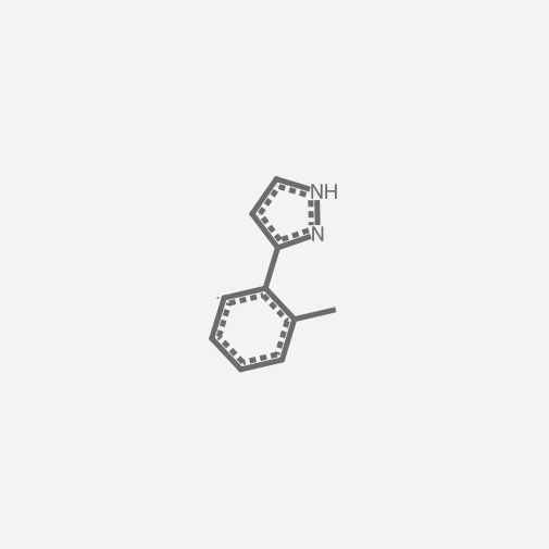 Cc1ccc[c]c1-c1cc[nH]n1